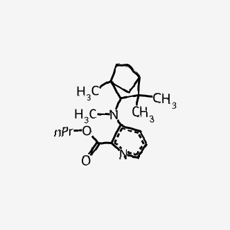 CCCOC(=O)c1ncccc1N(C)C1C2(C)CCC(C2)C1(C)C